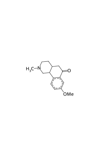 COc1ccc2c(c1)C(=O)CC1CCN(C)CC21